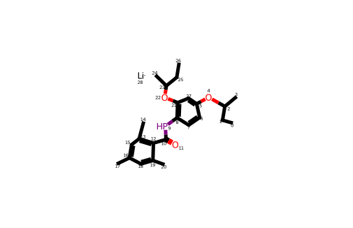 CCC(C)Oc1ccc(PC(=O)c2c(C)cc(C)cc2C)c(OC(C)CC)c1.[Li]